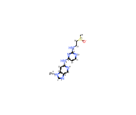 CC(C)n1cnc2cnc(Nc3ccnc(NCC[S+](C)[O-])n3)cc21